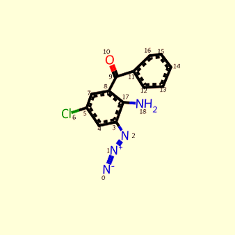 [N-]=[N+]=Nc1cc(Cl)cc(C(=O)c2ccccc2)c1N